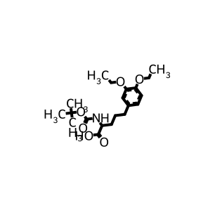 CCOc1ccc(CCCC(NC(=O)OC(C)(C)C)C(=O)O)cc1OCC